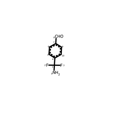 NC(F)(F)c1ccc(C=O)cc1